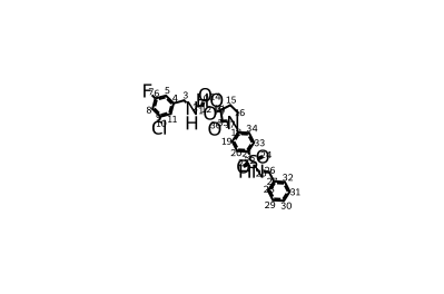 O=C(NCc1cc(F)cc(Cl)c1)O[C@@]1(O)CCN(c2ccc(S(=O)(=O)NCc3ccccc3)cc2)C1=O